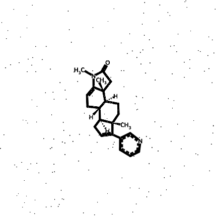 CN1C(=O)C[C@@]2(C)C1=CC[C@@H]1[C@@H]2CC[C@]2(C)C(c3cccnc3)=CC[C@@H]12